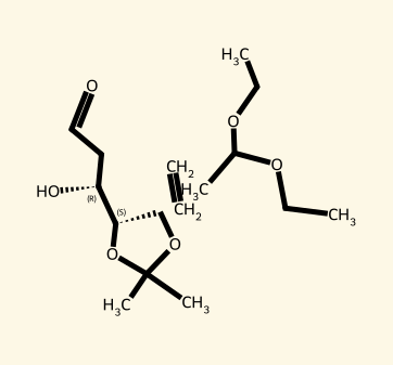 C=C.CC1(C)OC[C@@H]([C@H](O)CC=O)O1.CCOC(C)OCC